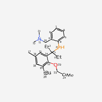 CCC(CC)(Pc1ccccc1CN(C)C)c1cc(C)cc(C(C)(C)C)c1OCOC